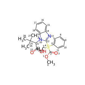 COC(=O)S(C)(c1ccccc1)c1nc2ccccc2n1C(C(=O)O)C(C)(C)C